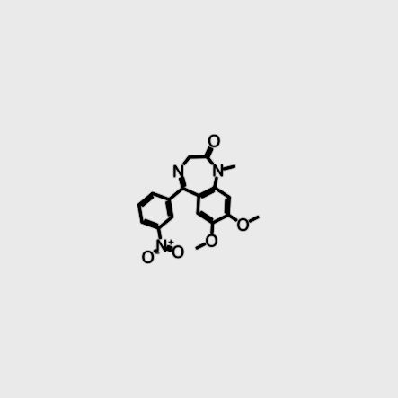 COc1cc2c(cc1OC)N(C)C(=O)CN=C2c1cccc([N+](=O)[O-])c1